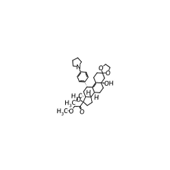 COCC(=O)[C@@]1(OC)CC[C@H]2[C@@H]3CC[C@@]4(O)CC5(CCC4=C3[C@@H](c3ccc(N4CCCC4)cc3)C[C@@]21C)OCCO5